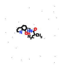 C=C(C)C(=O)NCc1ccc2cccnc2c1O